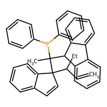 C=CC(CC)C1(C(C)(C2c3ccccc3-c3ccccc32)P(c2ccccc2)c2ccccc2)C=Cc2ccccc21